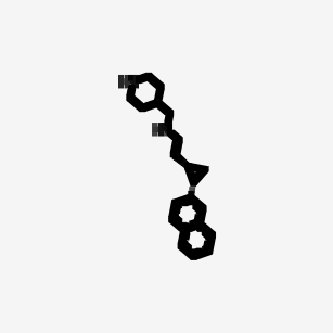 C(=C\[C@H]1C[C@@H]1c1ccc2ccccc2c1)/NCC1CCNCC1